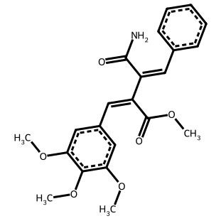 COC(=O)C(=Cc1cc(OC)c(OC)c(OC)c1)C(=Cc1ccccc1)C(N)=O